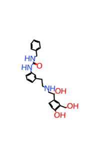 O=C(NCc1ccccc1)Nc1cccc(CCNC[C@H](O)c2ccc(O)c(CO)c2)c1